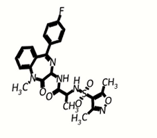 Cc1noc(C)c1S(=O)(=O)NC(C)C(=O)NC1N=C(c2ccc(F)cc2)c2ccccc2N(C)C1=O